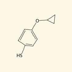 Sc1ccc(OC2CC2)cc1